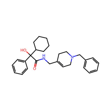 O=C(NCC1=CCN(Cc2ccccc2)CC1)C(O)(c1ccccc1)C1CCCCC1